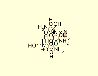 NCC(O)CN[C@@H]1C[C@H](N)C(O[C@H]2O[C@H](CNCCCO)[C@@H](O)[C@H](O)[C@H]2N)[C@H](O)[C@H]1O[C@H]1O[C@H](CO)[C@@H](O)[C@H](N)[C@H]1O